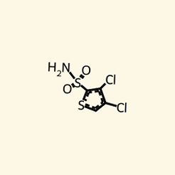 NS(=O)(=O)c1scc(Cl)c1Cl